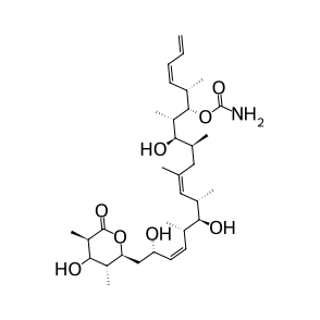 C=C/C=C\[C@H](C)[C@H](OC(N)=O)[C@@H](C)[C@H](O)[C@@H](C)C/C(C)=C\[C@H](C)[C@@H](O)[C@@H](C)/C=C\[C@@H](O)C[C@@H]1OC(=O)[C@H](C)C(O)[C@H]1C